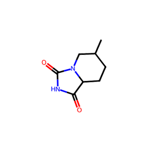 CC1CCC2C(=O)NC(=O)N2C1